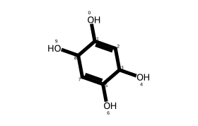 OC1=CC(O)C(O)=CC1O